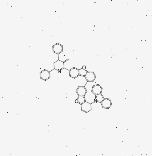 C=C1C(c2ccc3c(c2)oc2cccc(-c4ccc5oc6c(c5c4)C(n4c5ccccc5c5ccccc54)CC=C6)c23)=NC(c2ccccc2)CC1c1ccccc1